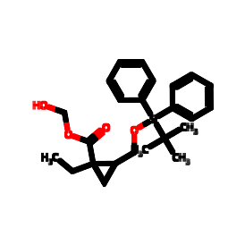 CCC1(C(=O)OCO)CC1CO[Si](c1ccccc1)(c1ccccc1)C(C)(C)C